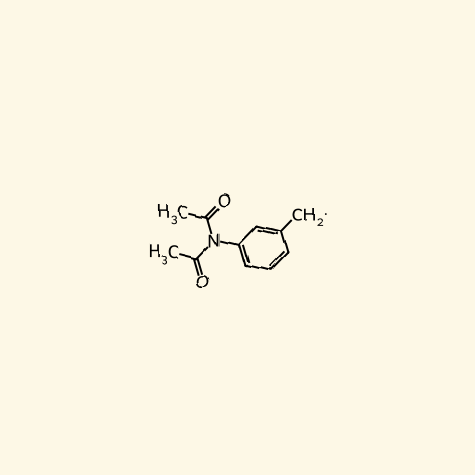 [CH2]c1cccc(N(C(C)=O)C(C)=O)c1